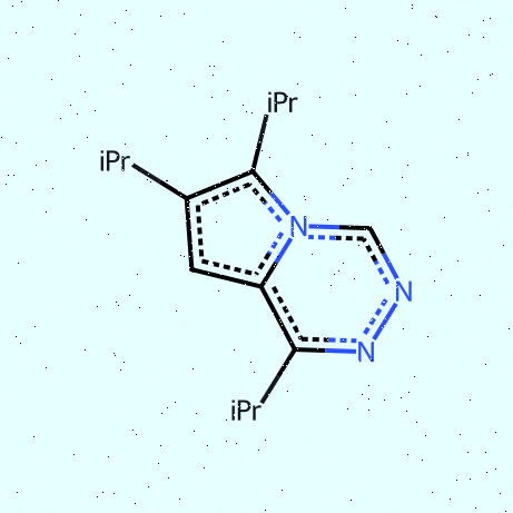 CC(C)c1cc2c(C(C)C)nncn2c1C(C)C